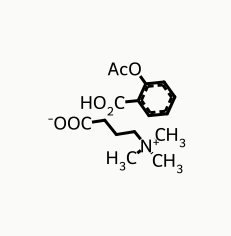 CC(=O)Oc1ccccc1C(=O)O.C[N+](C)(C)CCCC(=O)[O-]